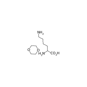 C1COCCO1.NCCCCC(N)C(=O)O